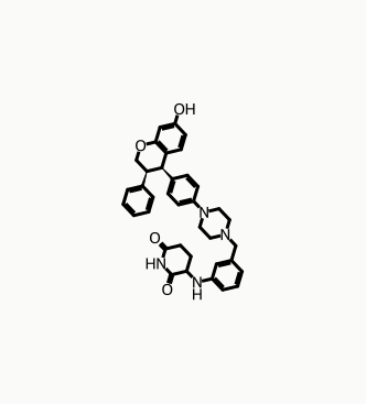 O=C1CCC(Nc2cccc(CN3CCN(c4ccc([C@@H]5c6ccc(O)cc6OC[C@@H]5c5ccccc5)cc4)CC3)c2)C(=O)N1